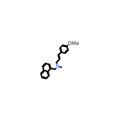 COc1ccc(C=CCN(C)Cc2cccc3ccccc23)cc1